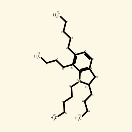 CCCCCc1ccc2c(c1CCCC)N(CCCCC)C(CCCC)C2